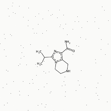 CC(C)c1nc(C(N)=O)c2n1CCNC2